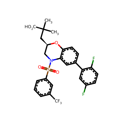 CC(C)(C[C@@H]1CN(S(=O)(=O)c2cccc(C(F)(F)F)c2)c2cc(-c3cc(F)ccc3F)ccc2O1)C(=O)O